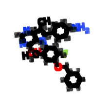 Cc1cc(OCc2ccccc2)c(F)cc1-n1c(-c2ccc(N)cc2)c(C)c2ncnc(O)c21